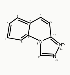 C1=Cc2ccccc2N2C=N[N+]=C12